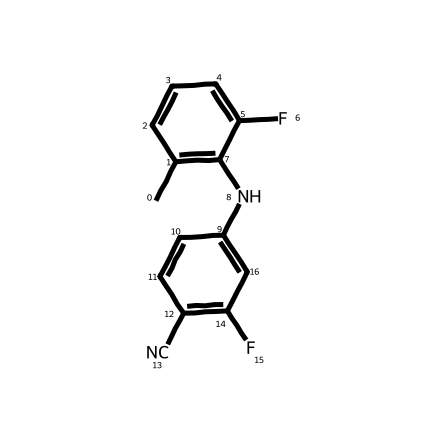 Cc1cccc(F)c1Nc1ccc(C#N)c(F)c1